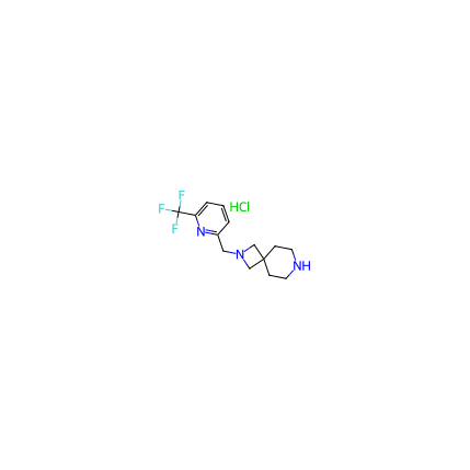 Cl.FC(F)(F)c1cccc(CN2CC3(CCNCC3)C2)n1